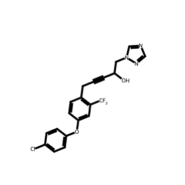 OC(C#CCc1ccc(Oc2ccc(Cl)cc2)cc1C(F)(F)F)Cn1cncn1